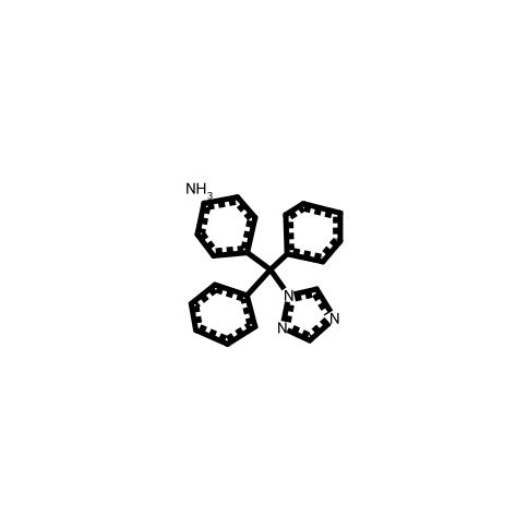 N.c1ccc(C(c2ccccc2)(c2ccccc2)n2cncn2)cc1